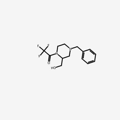 O=C(N1CCN(Cc2ccccc2)CC1CO)C(F)(F)F